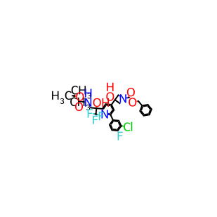 CC(C)(C)OC(=O)NCC(O)(c1cc(C2(O)CN(C(=O)OCc3ccccc3)C2)cc(-c2ccc(F)c(Cl)c2)n1)C(F)(F)F